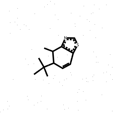 CC1c2ncsc2C=CC1C(C)(C)C